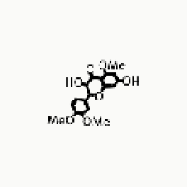 COc1ccc(C2Oc3cc(O)cc(OC)c3C(=O)C2O)cc1OC